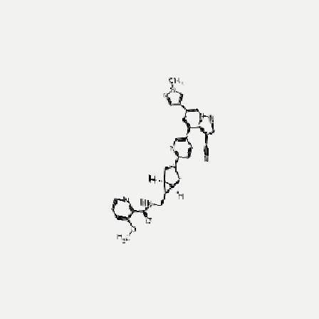 COc1cccnc1C(=O)NCC1[C@H]2CN(c3ccc(-c4cc(-c5cnn(C)c5)cn5ncc(C#N)c45)cn3)C[C@@H]12